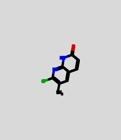 Bc1cc2ccc(=O)[nH]c2nc1Cl